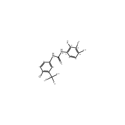 O=C(Nc1ccc(Cl)c(C(F)(F)F)c1)Nc1ccc(F)c(F)c1F